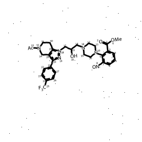 COC(=O)c1cccc(N=O)c1N1CCN(CC(O)Cn2nc(-c3ccc(C(F)(F)F)cc3)c3c2CCN(C(C)=O)C3)CC1